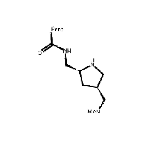 CCCC(C)C(=O)NC[C@@H]1C[C@H](CNC)CN1